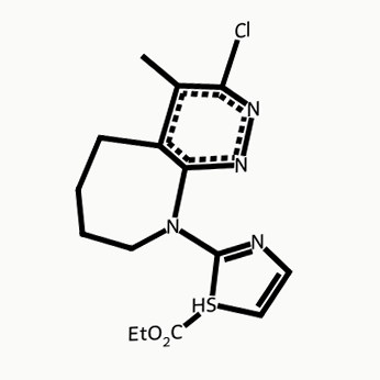 CCOC(=O)[SH]1C=CN=C1N1CCCCc2c1nnc(Cl)c2C